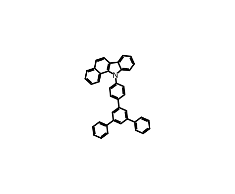 c1ccc(-c2cc(-c3ccccc3)cc(-c3ccc(-n4c5ccccc5c5ccc6ccccc6c54)cc3)c2)cc1